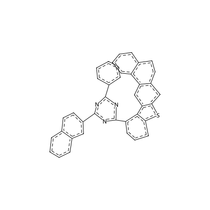 c1ccc(-c2nc(-c3ccc4ccccc4c3)nc(-c3cccc4sc5cc6ccc7ccccc7c6cc5c34)n2)cc1